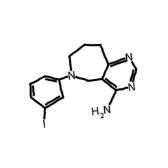 Nc1ncnc2c1CN(c1cccc(I)c1)CCC2